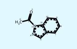 CC(=O)n1ncc2ccccc21